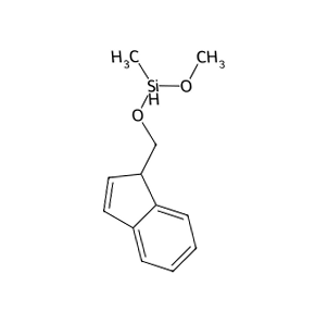 CO[SiH](C)OCC1C=Cc2ccccc21